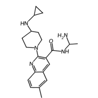 Cc1ccc2nc(N3CCC(NC4CC4)CC3)c(C(=O)NC(C)N)cc2c1